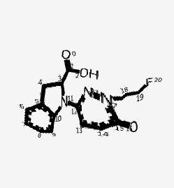 O=C(O)C1Cc2ccccc2N1c1ccc(=O)n(CCF)n1